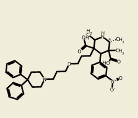 CC1N[C@H](C)C(C)(C(=O)O)C(c2cccc([N+](=O)[O-])c2)C1(CCCOCCCN1CCC(c2ccccc2)(c2ccccc2)CC1)C(=O)O